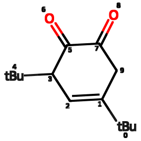 CC(C)(C)C1=CC(C(C)(C)C)C(=O)C(=O)C1